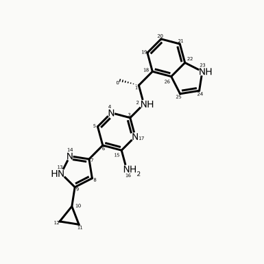 C[C@@H](Nc1ncc(-c2cc(C3CC3)[nH]n2)c(N)n1)c1cccc2[nH]ccc12